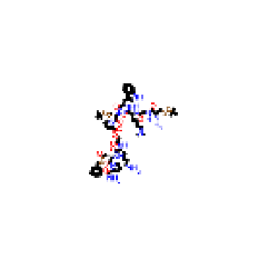 CN(C)CCCC[C@H](NC(=O)CNC(=O)[C@@H](N)CSSC(C)(C)C)C(=O)N[C@@H](Cc1c[nH]c2ccccc12)C(=O)N[C@@H](CSSC(C)(C)C)C(=O)N1CCC[C@H]1C(=O)OCC(=O)N[C@@H](CCCCN)C(=O)N[C@@H](CC(=O)SCc1ccccc1)C(=O)N1CCC[C@H]1C(N)=O